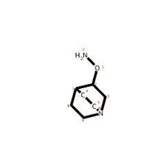 NOC1CN2CCC1CC2